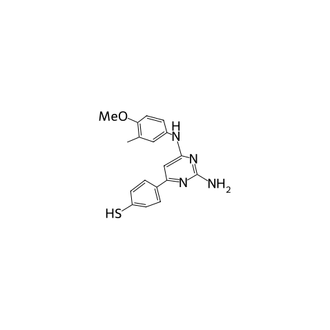 COc1ccc(Nc2cc(-c3ccc(S)cc3)nc(N)n2)cc1C